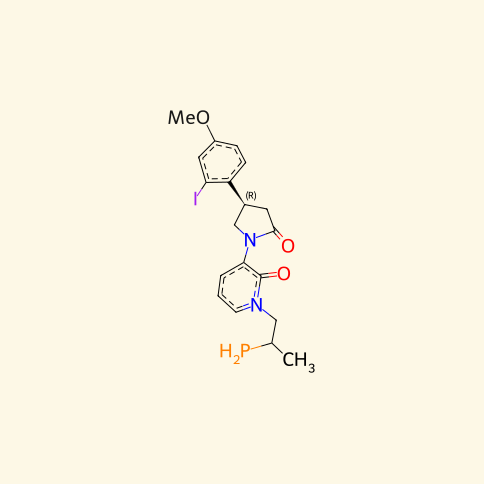 COc1ccc([C@H]2CC(=O)N(c3cccn(CC(C)P)c3=O)C2)c(I)c1